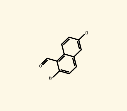 O=Cc1c(Br)ccc2cc(Cl)ccc12